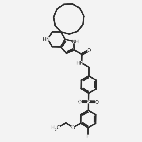 CCOc1cc(S(=O)(=O)c2ccc(CNC(=O)c3cc4c([nH]3)C3(CCCCCCCCCC3)CNC4)cc2)ccc1F